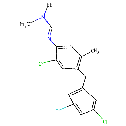 CCN(C)C=Nc1cc(C)c(Cc2cc(F)cc(Cl)c2)cc1Cl